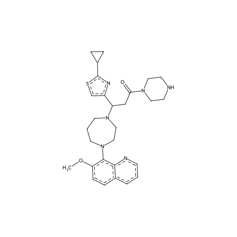 COc1ccc2cccnc2c1N1CCCN(C(CC(=O)N2CCNCC2)c2csc(C3CC3)n2)CC1